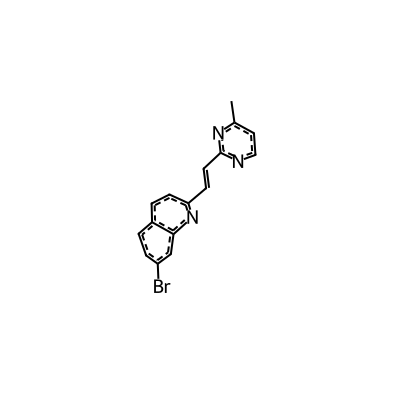 Cc1ccnc(/C=C/c2ccc3ccc(Br)cc3n2)n1